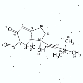 C[C@]12CC(C=O)C(=O)C=C1CC[C@@]2(O)C#C[Si](C)(C)C